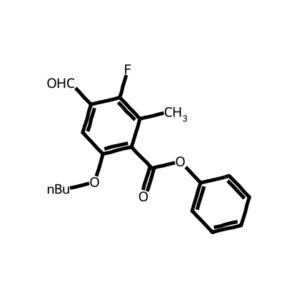 CCCCOc1cc(C=O)c(F)c(C)c1C(=O)Oc1ccccc1